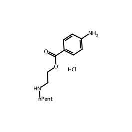 CCCCCNCCOC(=O)c1ccc(N)cc1.Cl